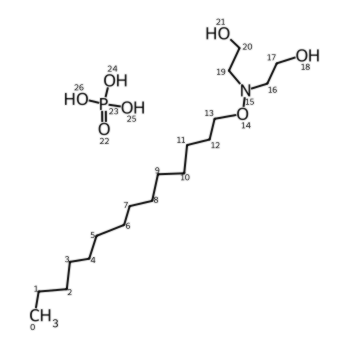 CCCCCCCCCCCCCCON(CCO)CCO.O=P(O)(O)O